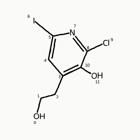 OCCc1cc(I)nc(Cl)c1O